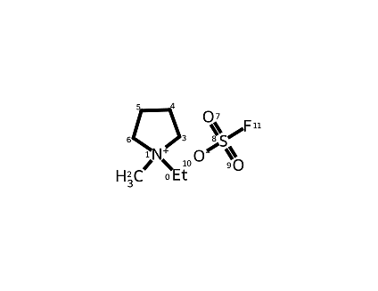 CC[N+]1(C)CCCC1.O=S(=O)([O-])F